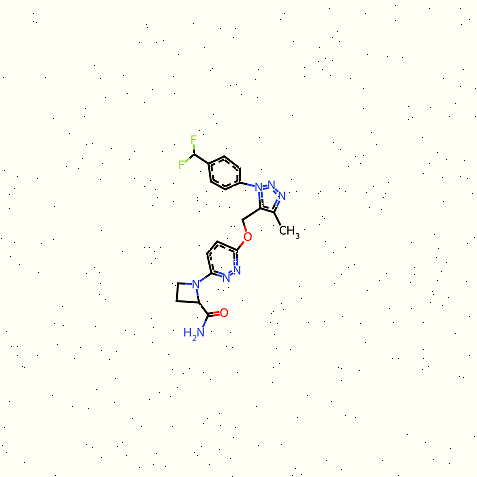 Cc1nnn(-c2ccc(C(F)F)cc2)c1COc1ccc(N2CCC2C(N)=O)nn1